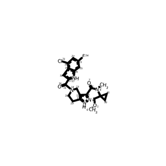 COCC1(N(C)C(=O)c2n[nH]c3c2CN(C(=O)c2cc4c(Cl)cc(F)cc4[nH]2)CC3)CC1